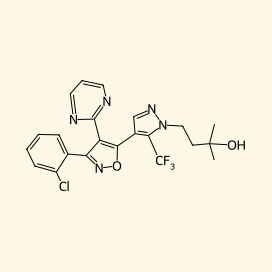 CC(C)(O)CCn1ncc(-c2onc(-c3ccccc3Cl)c2-c2ncccn2)c1C(F)(F)F